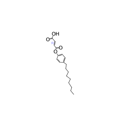 CCCCCCCCCc1ccc(OC(=O)/C=C/C(=O)O)cc1